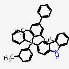 Cc1cc(-c2ccccc2)cc(C)c1[Si](C1=CC(C)CC=C1)(c1ccccc1)c1ccc2[nH]c3ccccc3c2c1